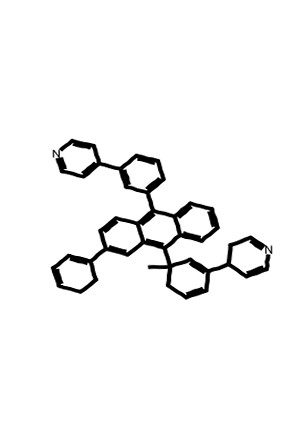 CC1(c2c3ccccc3c(-c3cccc(-c4ccncc4)c3)c3ccc(C4=CC=CCC4)cc23)C=C(C2C=CN=CC2)C=CC1